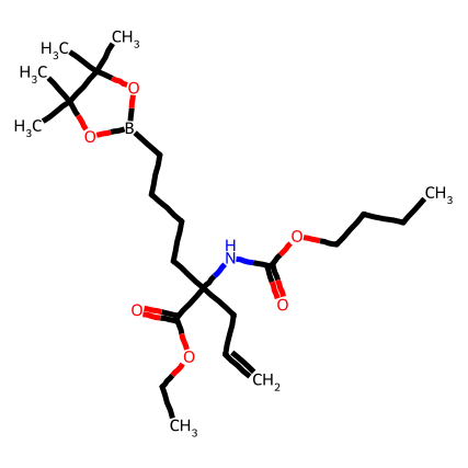 C=CCC(CCCCB1OC(C)(C)C(C)(C)O1)(NC(=O)OCCCC)C(=O)OCC